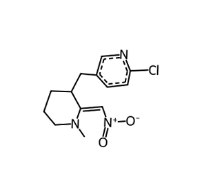 CN1CCCC(Cc2ccc(Cl)nc2)C1=C[N+](=O)[O-]